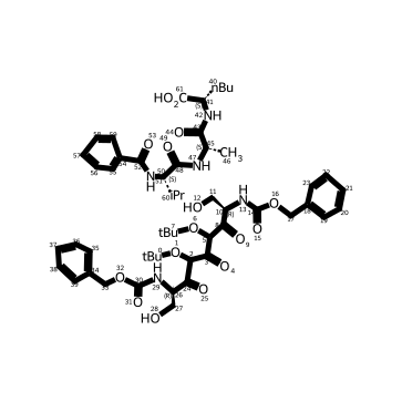 CC(C)(C)OC(C(=O)C(OC(C)(C)C)C(=O)[C@@H](CO)NC(=O)OCc1ccccc1)C(=O)[C@@H](CO)NC(=O)OCc1ccccc1.CCCC[C@H](NC(=O)[C@H](C)NC(=O)[C@@H](NC(=O)c1ccccc1)C(C)C)C(=O)O